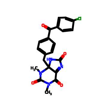 CN1C(=O)C2=NC(=O)NC2(Cc2ccc(C(=O)c3ccc(Cl)cc3)cc2)N(C)C1=O